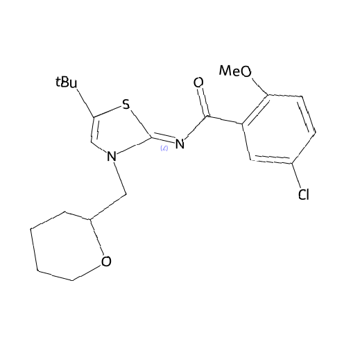 COc1ccc(Cl)cc1C(=O)/N=c1\sc(C(C)(C)C)cn1CC1CCCCO1